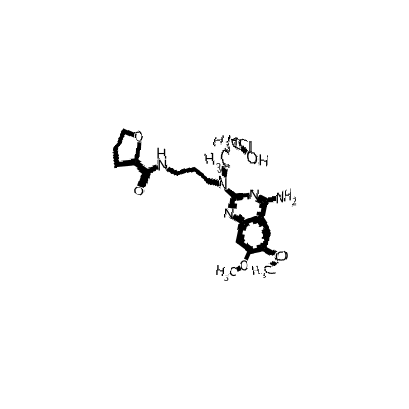 CO.COc1cc2nc(N(C)CCCNC(=O)C3CCCO3)nc(N)c2cc1OC.Cl